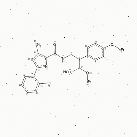 CCCOc1ccc(C(CNC(=O)c2nc(-c3ccccc3Cl)sc2C)C(OC(C)C)C(=O)O)cc1